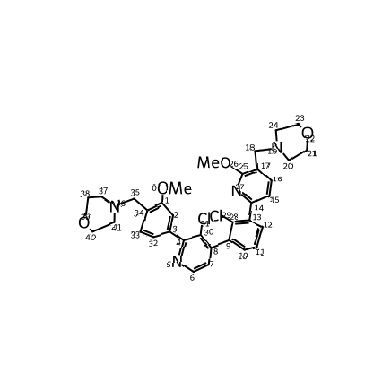 COc1cc(-c2nccc(-c3cccc(-c4ccc(CN5CCOCC5)c(OC)n4)c3Cl)c2Cl)ccc1CN1CCOCC1